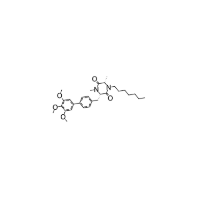 CCCCCCCN1C(=O)[C@H](Cc2ccc(-c3cc(OC)c(OC)c(OC)c3)cc2)N(C)C(=O)[C@@H]1C